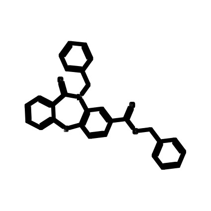 O=C(OCc1ccccc1)c1ccc2c(c1)N(Cc1ccccc1)C(=O)c1ccccc1S2